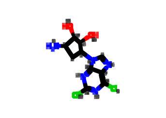 NC1CC(n2cnc3c(Cl)nc(Cl)nc32)[C@H](O)[C@@H]1O